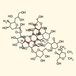 CC1C(O)[C@H](OC2OC(CO)[C@H](O)[C@H](O)C2O)[C@H](CO)O[C@H]1O[C@@H]1C(O)[C@H](O)C(CO)O[C@@H]1OCC1O[C@@H](O[C@@H]2C(CO)O[C@@H](O[C@@H]3C(CO)O[C@@H](C)[C@@H](C)C3O)[C@@H](C)C2O)[C@H](O)C(O[C@H]2O[C@H](CO)[C@@H](O)C(O)C2O[C@@H]2OC(CO)[C@@H](O[C@@H]3OC(CO[C@]4(C(=O)O)C[C@@H](O)[C@@H](N)C([C@H](O)[C@H](O)CO)O4)[C@H](O)C(O)[C@@H]3O)C(O)[C@@H]2C)[C@@H]1O